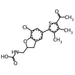 CC(=O)c1sc(-c2cc(Cl)c3c(c2)CC(CNC(=O)O)O3)c(C)c1C